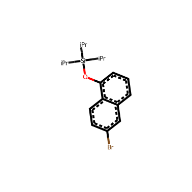 CC(C)[Si](Oc1cccc2cc(Br)ccc12)(C(C)C)C(C)C